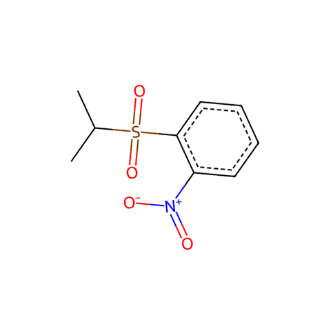 CC(C)S(=O)(=O)c1ccccc1[N+](=O)[O-]